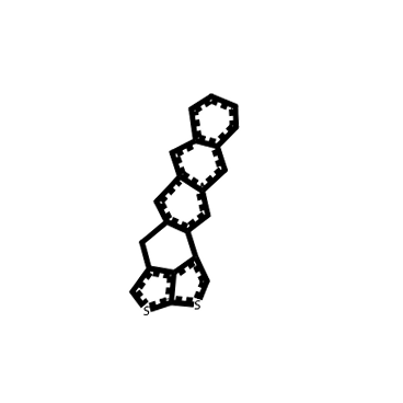 c1ccc2cc3cc4c(cc3cc2c1)Cc1csc2scc-4c12